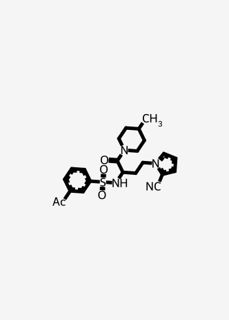 CC(=O)c1cccc(S(=O)(=O)NC(CCn2cccc2C#N)C(=O)N2CCC(C)CC2)c1